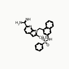 CCOC(=O)c1cc2ccc(C(=N)N)nc2n1Cc1cc(NS(=O)(=O)c2ccccc2)cc2ccccc12